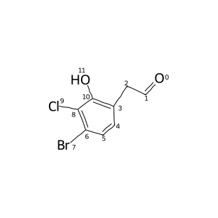 O=CCc1ccc(Br)c(Cl)c1O